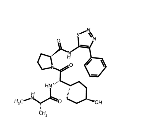 CN[C@@H](C)C(=O)N[C@H](C(=O)N1CCC[C@H]1C(=O)Nc1snnc1-c1ccccc1)[C@H]1CC[C@H](O)CC1